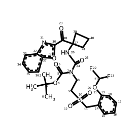 CC(C)(C)OC(=O)N(CCS(=O)(=O)Cc1ccccc1OC(F)F)C(=O)NC1(C(=O)c2nc3ccccc3o2)CCC1